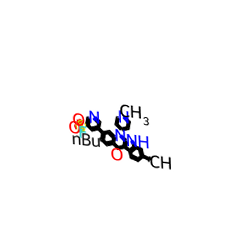 C#Cc1ccc2c(c1)[nH]c1c2c(=O)c2cc(CCCC)c(-c3cncc(S(=O)(=O)F)c3)cc2n1C1CCN(C)CC1